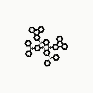 c1ccc(N(c2ccccc2)c2ccc3c(c2)N(c2ccc4c5ccccc5c5ccccc5c4c2)c2cccc4c2B3c2ccc(N(c3ccccc3)c3ccccc3)cc2N4c2ccc3c4ccccc4c4ccccc4c3c2)cc1